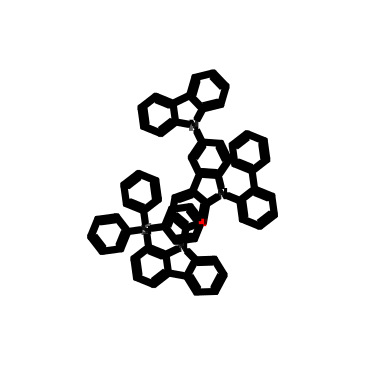 c1ccc(-c2ccccc2-n2c3ccc(-n4c5ccccc5c5ccccc54)cc3c3ccc(-n4c5ccccc5c5cccc([Si](c6ccccc6)(c6ccccc6)c6ccccc6)c54)cc32)cc1